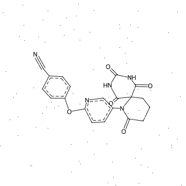 N#Cc1ccc(Oc2ccc(N3C(=O)CCCC34C(=O)NC(=O)NC4=O)cn2)cc1